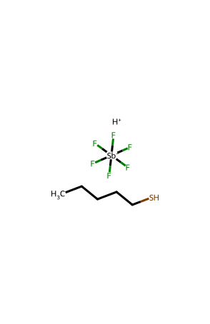 CCCCCS.[F][Sb-]([F])([F])([F])([F])[F].[H+]